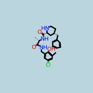 Cc1cc(Cl)cc(CNC(=O)[C@H](C)NC(=O)[C@H]2C[C@@H](Cc3ccccc3)CCN2)c1O